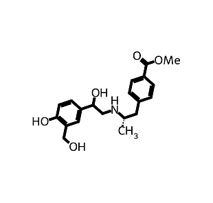 COC(=O)c1ccc(C[C@H](C)NCC(O)c2ccc(O)c(CO)c2)cc1